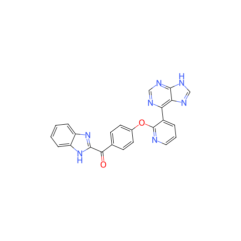 O=C(c1ccc(Oc2ncccc2-c2ncnc3[nH]cnc23)cc1)c1nc2ccccc2[nH]1